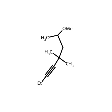 CCC#CC(C)(C)CC(C)OC